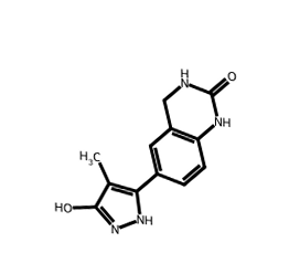 Cc1c(O)n[nH]c1-c1ccc2c(c1)CNC(=O)N2